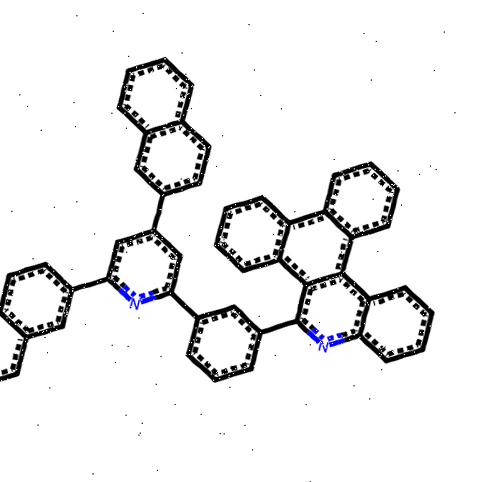 c1cc(-c2cc(-c3ccc4ccccc4c3)cc(-c3ccc4ccccc4c3)n2)cc(-c2nc3ccccc3c3c4ccccc4c4ccccc4c23)c1